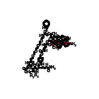 CCCCCCN(C(=O)[C@@H](NC(=O)[C@H]1CCCCN1C)[C@@H](C)CC)[C@H](C[C@@H](OC(=O)NCCNC(=O)OCc1ccc(NC(=O)[C@H](CCCNC(N)=O)NC(=O)[C@@H](NC(=O)[C@H](CCC(=O)O)NC(=O)CCOCCOCCOCCOCCNC(=O)OC[C@H]2C3CCC#CCC[C@H]32)C(C)C)cc1)c1nc(C(=O)N[C@@H](Cc2ccc(N)c(F)c2)CC(C)(C)C(=O)O)cs1)C(C)C